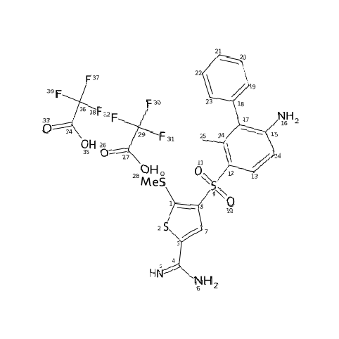 CSc1sc(C(=N)N)cc1S(=O)(=O)c1ccc(N)c(-c2ccccc2)c1C.O=C(O)C(F)(F)F.O=C(O)C(F)(F)F